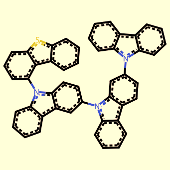 c1ccc2c(c1)sc1cccc(-n3c4ccccc4c4cc(-n5c6ccccc6c6ccc(-n7c8ccccc8c8ccccc87)cc65)ccc43)c12